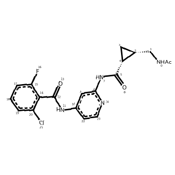 CC(=O)NC[C@H]1C[C@H]1C(=O)Nc1cc(NC(=O)c2c(F)cccc2Cl)ccn1